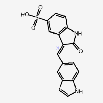 O=C1Nc2ccc(S(=O)(=O)O)cc2/C1=C/c1ccc2[nH]ccc2c1